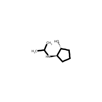 CC(C)N[C@@H]1CCC[C@H]1O